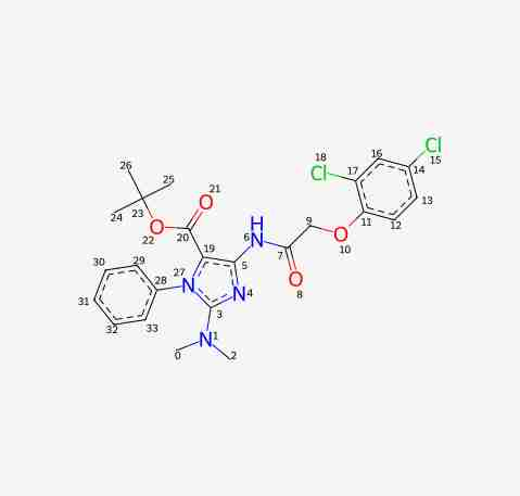 CN(C)c1nc(NC(=O)COc2ccc(Cl)cc2Cl)c(C(=O)OC(C)(C)C)n1-c1ccccc1